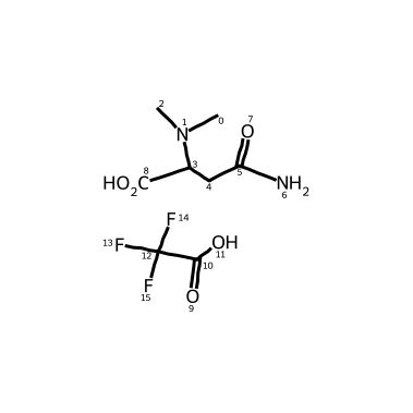 CN(C)C(CC(N)=O)C(=O)O.O=C(O)C(F)(F)F